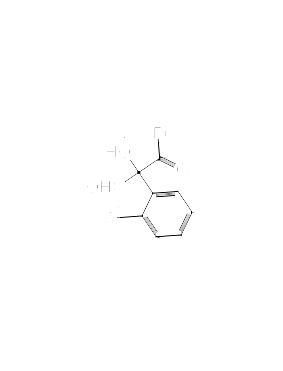 CCC(=O)C(O)([C]=O)c1ccccc1Cl